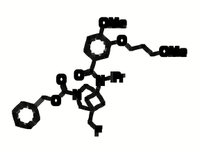 COCCCOc1cc(C(=O)N(C(C)C)C23CN(C(=O)OCc4ccccc4)CC(CF)(C2)C3)ccc1OC